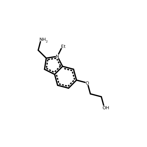 CCn1c(CN)cc2ccc(OCCO)cc21